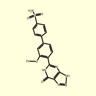 CCOc1cc(-c2ccc(S(N)(=O)=O)cc2)ccc1-c1nc2[nH]nnc2c(=O)[nH]1